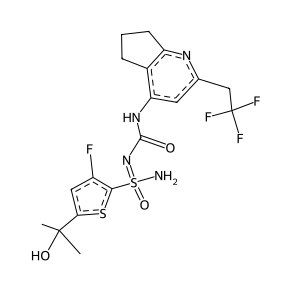 CC(C)(O)c1cc(F)c(S(N)(=O)=NC(=O)Nc2cc(CC(F)(F)F)nc3c2CCC3)s1